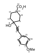 COc1ccc(C#CC2(O)CCN(C(=O)O)CC2)cn1